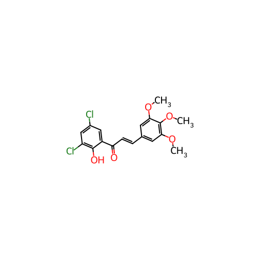 COc1cc(C=CC(=O)c2cc(Cl)cc(Cl)c2O)cc(OC)c1OC